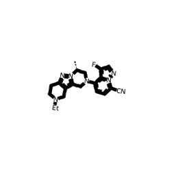 CCN1CCc2nn3c(c2C1)CN(c1ccc(C#N)n2ncc(F)c12)C[C@H]3C